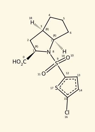 O=C(O)[C@H]1C[C@H]2CCC[C@H]2N1S(=O)(=O)c1ccc(Cl)s1